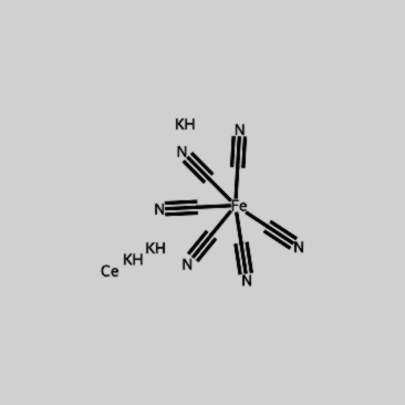 N#[C][Fe]([C]#N)([C]#N)([C]#N)([C]#N)[C]#N.[Ce].[KH].[KH].[KH]